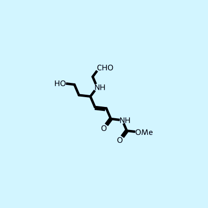 COC(=O)NC(=O)C=CC(CCO)NCC=O